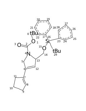 CC(C)(C)OC(=O)N1CC(C2=CCCC2)=CC1CO[Si](c1ccccc1)(c1ccccc1)C(C)(C)C